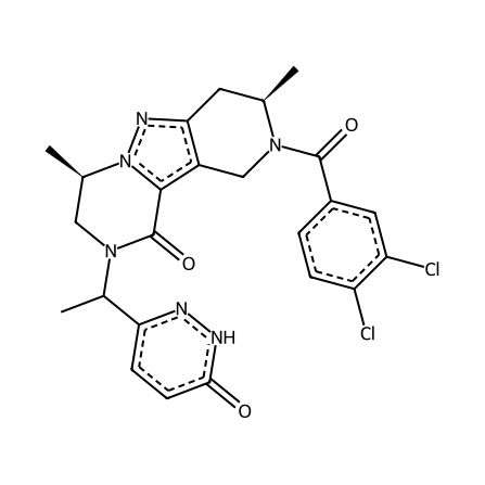 CC(c1ccc(=O)[nH]n1)N1C[C@@H](C)n2nc3c(c2C1=O)CN(C(=O)c1ccc(Cl)c(Cl)c1)[C@H](C)C3